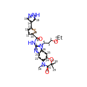 CCOCCCn1c(NC(=O)c2ccc(-c3cn[nH]c3)s2)nc2cc3c(cc21)OC(C)(C)C(=O)N3C